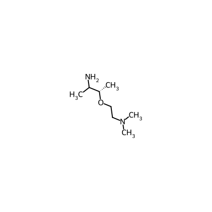 CC(N)[C@H](C)OCCN(C)C